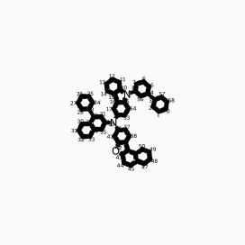 c1ccc(-c2cccc(-n3c4ccccc4c4cc(N(c5cc(-c6ccccc6)c6ccccc6c5)c5ccc6c(c5)oc5ccc7ccccc7c56)ccc43)c2)cc1